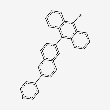 Brc1c2ccccc2c(-c2ccc3cc(-c4ccncc4)ccc3c2)c2ccccc12